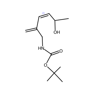 C=C(/C=C\C(C)O)CNC(=O)OC(C)(C)C